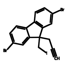 C#CCC1(CI)c2cc(Br)ccc2-c2ccc(Br)cc21